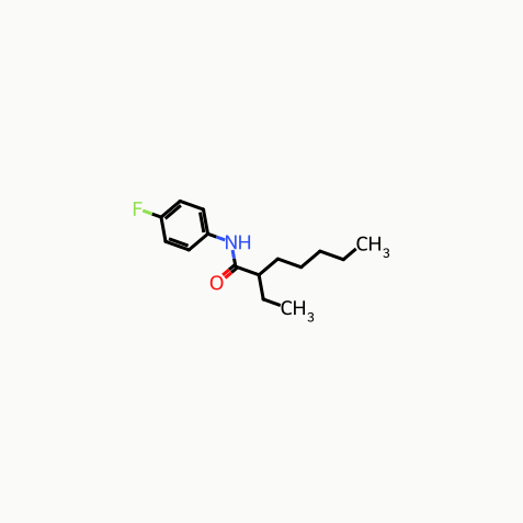 CCCCCC(CC)C(=O)Nc1ccc(F)cc1